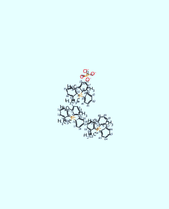 Cc1ccccc1[P+](C)(c1ccccc1C)c1ccccc1C.Cc1ccccc1[P+](C)(c1ccccc1C)c1ccccc1C.Cc1ccccc1[P+](C)(c1ccccc1C)c1ccccc1C.O=P([O-])([O-])[O-]